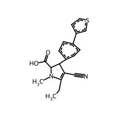 CCC1=C(C#N)C(c2ccc(-c3ccsc3)cc2)C(C(=O)O)N1C